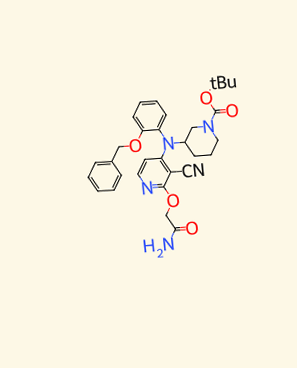 CC(C)(C)OC(=O)N1CCCC(N(c2ccccc2OCc2ccccc2)c2ccnc(OCC(N)=O)c2C#N)C1